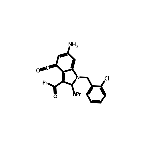 CCCC1C(C(=O)C(C)C)=c2c(cc(N)cc2=C=O)N1Cc1ccccc1Cl